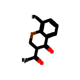 CC(C)c1cccc2c1SCC(C(=O)C(F)(F)F)C2=O